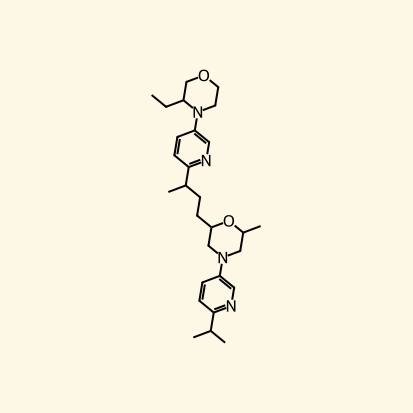 CCC1COCCN1c1ccc(C(C)CCC2CN(c3ccc(C(C)C)nc3)CC(C)O2)nc1